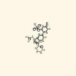 CN(C)Cc1nn(C2CCCCO2)c2ccc(-c3ccc(F)cc3OS(C)(=O)=O)cc12